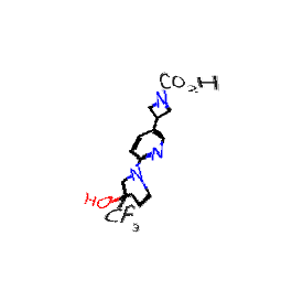 O=C(O)N1CC(c2ccc(N3CCC(O)(C(F)(F)F)C3)nc2)C1